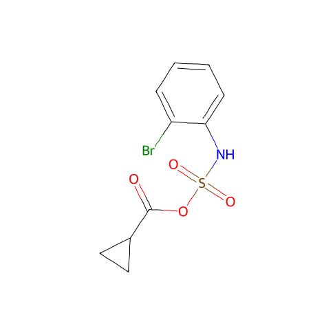 O=C(OS(=O)(=O)Nc1ccccc1Br)C1CC1